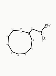 CCCN(CC)CC1C[CH]CCCCCCC1